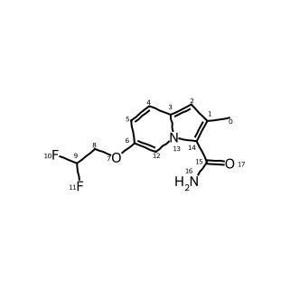 Cc1cc2ccc(OCC(F)F)cn2c1C(N)=O